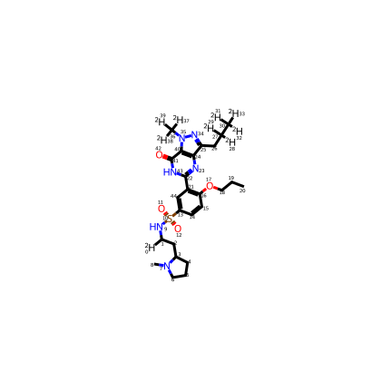 [2H]C(CC1CCCN1C)NS(=O)(=O)c1ccc(OCCC)c(-c2nc3c(CC([2H])([2H])C([2H])([2H])[2H])nn(C([2H])([2H])[2H])c3c(=O)[nH]2)c1